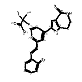 CCc1ccccc1C=Cc1cc(-c2cc3c([nH]2)CCNC3=O)ccn1.O=C(O)C(F)(F)F